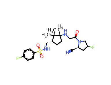 CC1(C)[C@@H](CNS(=O)(=O)c2ccc(F)cc2)CC[C@@]1(C)NCC(=O)N1C[C@@H](F)C[C@H]1C#N